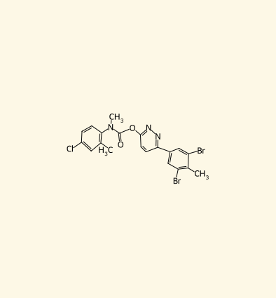 Cc1cc(Cl)ccc1N(C)C(=O)Oc1ccc(-c2cc(Br)c(C)c(Br)c2)nn1